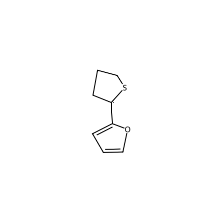 c1coc([C]2CCCS2)c1